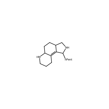 CCCCCC1NCC2CCC3NCCCC3=C21